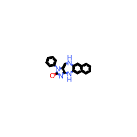 O=C1N=C2Nc3cc4ccccc4cc3NC=C2N1c1ccccc1